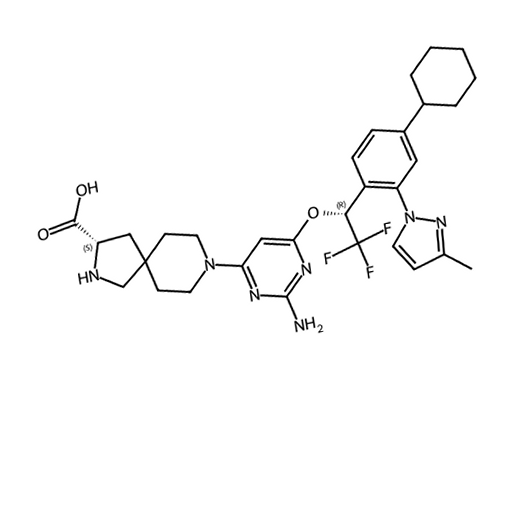 Cc1ccn(-c2cc(C3CCCCC3)ccc2[C@@H](Oc2cc(N3CCC4(CC3)CN[C@H](C(=O)O)C4)nc(N)n2)C(F)(F)F)n1